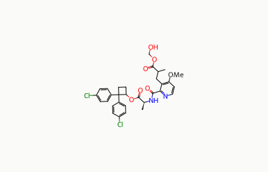 COc1ccnc(C(=O)N[C@@H](C)C(=O)OC2CCC2(c2ccc(Cl)cc2)c2ccc(Cl)cc2)c1CC(C)C(=O)OCO